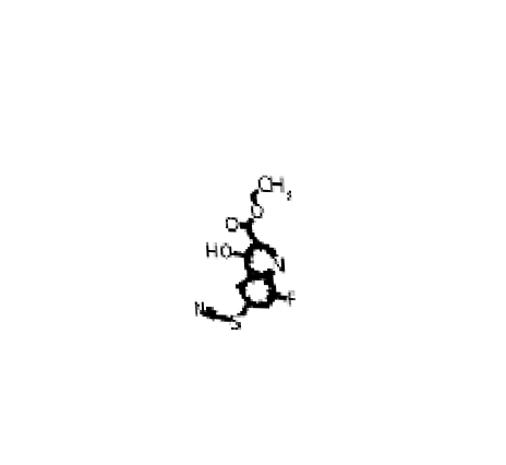 CCOC(=O)c1cnc2c(F)cc(SC#N)cc2c1O